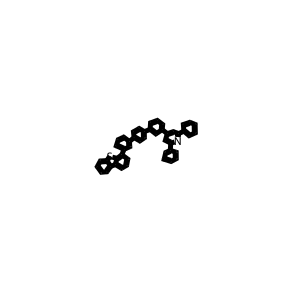 c1ccc(-c2cc(-c3cccc(-c4ccc(-c5cccc(-c6cccc7c6sc6ccccc67)c5)cc4)c3)cc(-c3ccccc3)n2)cc1